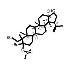 C=C(C)[C@@H]1CC[C@]2(C=O)CC[C@]3(C)[C@H](CC[C@@H]4[C@@]5(C)CCC(O[SiH](C)C)(C(C)(C)C)C(C)(CC(C)(C)C)[C@@H]5CC[C@]43C)[C@@H]12